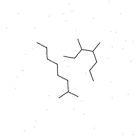 CCCC(C)C(C)CC.CCCCCCC(C)C